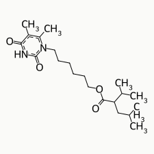 Cc1c(C)n(CCCCCCOC(=O)C(CC(C)C)C(C)C)c(=O)[nH]c1=O